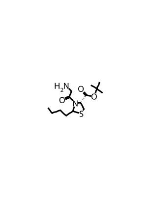 CCCCC1SC[C@@H](C(=O)OC(C)(C)C)N1C(=O)CN